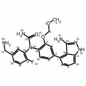 COCOc1cc(-c2cccc3[nH]nc(N)c23)ccc1N(C(N)=O)c1cc(CN)ccc1F